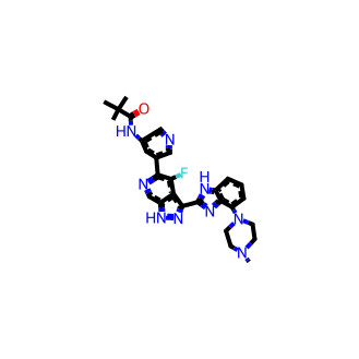 CN1CCN(c2cccc3[nH]c(-c4n[nH]c5cnc(-c6cncc(NC(=O)C(C)(C)C)c6)c(F)c45)nc23)CC1